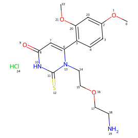 COc1ccc(-c2cc(=O)[nH]c(=S)n2CCOCCN)c(OC)c1.Cl